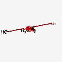 C#CC#CC#CC#CC#CC#CC#CC#CC#CC#CC#CC#C/C=C/C#CC#CC(=O)OC(C)(C)C(C)(OC(=O)C#CC#C/C=C/C#CC#CC#CC#CC#CC#CC#CC#CC#CC#CC#CC#C)C(C)(C)O